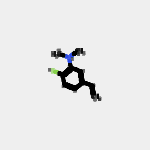 C=Cc1ccc(F)c(N(C)C)c1